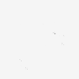 O=C(O)[C@H]1CCCCN1Cc1cc(F)c(OCc2cccc(-c3ccccc3)c2Br)cc1OCc1ccc2nonc2c1